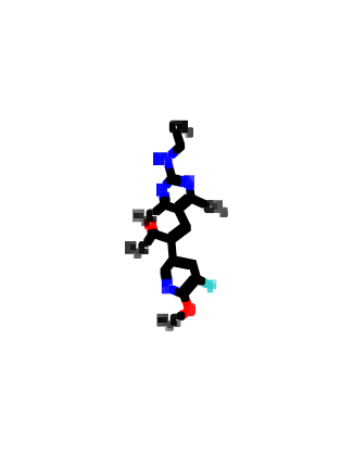 CCNc1nc(C)c(/C=C(\C(C)=O)c2cnc(OC)c(F)c2)c(C)n1